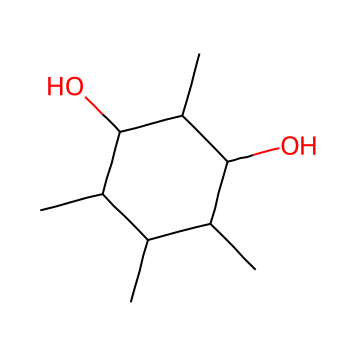 CC1C(C)C(O)C(C)C(O)C1C